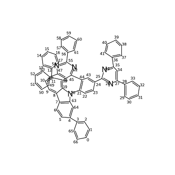 c1ccc(-c2ccc3c4ccc(-c5ccccc5)cc4n(-c4ccc(-c5nc(-c6ccccc6)cc(-c6ccccc6)n5)cc4-c4cc(-c5ccccc5)nc(-c5ccccc5)n4)c3c2)cc1